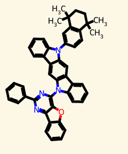 CC1(C)CCC(C)(C)c2cc(-n3c4ccccc4c4cc5c(cc43)c3ccccc3n5-c3nc(-c4ccccc4)nc4c3oc3ccccc34)ccc21